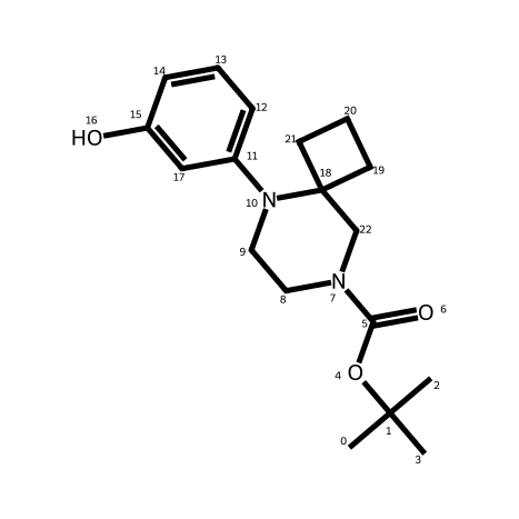 CC(C)(C)OC(=O)N1CCN(c2cccc(O)c2)C2(CCC2)C1